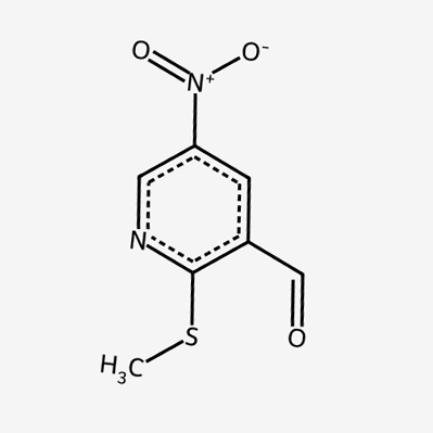 CSc1ncc([N+](=O)[O-])cc1C=O